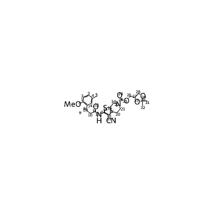 COc1ccc(C)cc1[C@@H](C)CC(=O)Nc1sc2c(c1C#N)CCN(C(=O)OCC1COC(C)(C)O1)C2